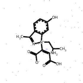 CC1=N[N+](CC(C)N)(/C(=C/C(=O)O)C(=O)[O-])c2cc(O)ccc21